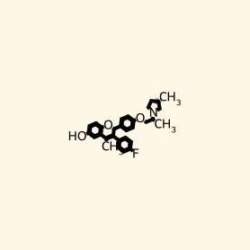 CC1=C(c2ccc(F)cc2)C(c2ccc(OCC(C)N3CC[C@@H](C)C3)cc2)Oc2ccc(O)cc21